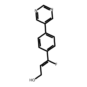 OCC=C(F)c1ccc(-c2cncnc2)cc1